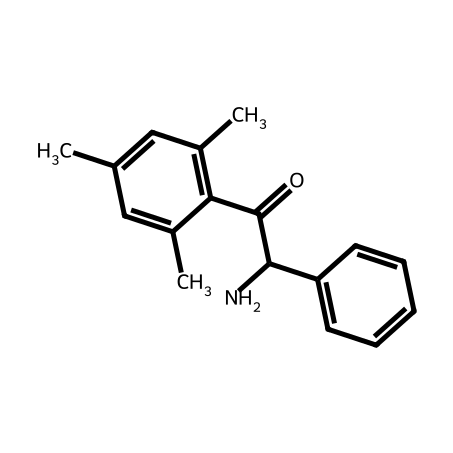 Cc1cc(C)c(C(=O)C(N)c2ccccc2)c(C)c1